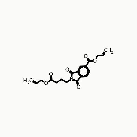 C=CCOC(=O)CCCN1C(=O)c2ccc(C(=O)OCC=C)cc2C1=O